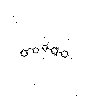 Cc1[nH]c([C@@H]2CCN(Cc3ccccc3)C2)nc1-c1cnc(-c2ccccc2)nc1